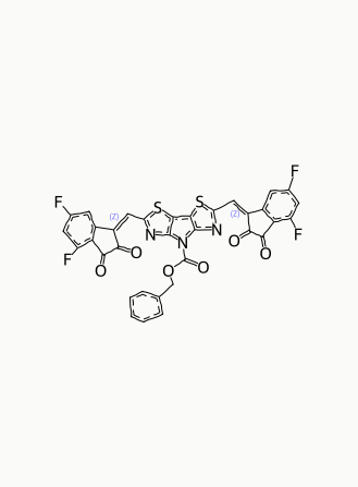 O=C1C(=O)c2c(F)cc(F)cc2/C1=C/c1nc2c(s1)c1sc(/C=C3\C(=O)C(=O)c4c(F)cc(F)cc43)nc1n2C(=O)OCc1ccccc1